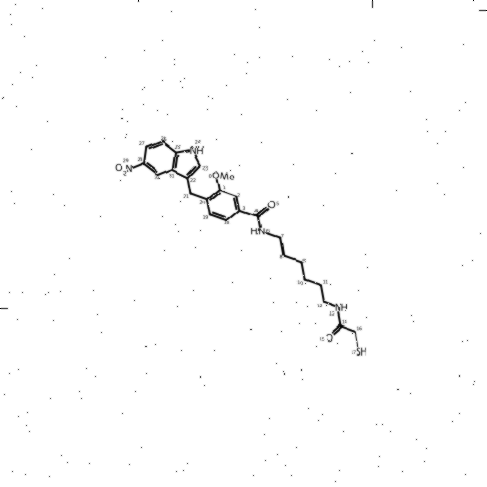 COc1cc(C(=O)NCCCCCCNC(=O)CS)ccc1Cc1c[nH]c2ccc([N+](=O)[O-])cc12